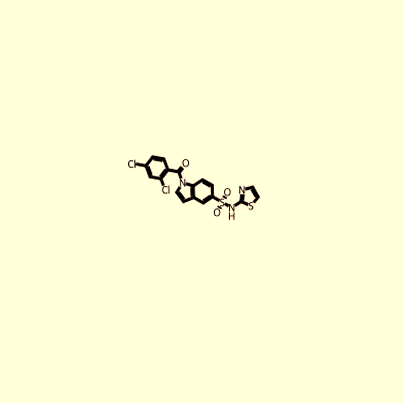 O=C(c1ccc(Cl)cc1Cl)n1ccc2cc(S(=O)(=O)Nc3nccs3)ccc21